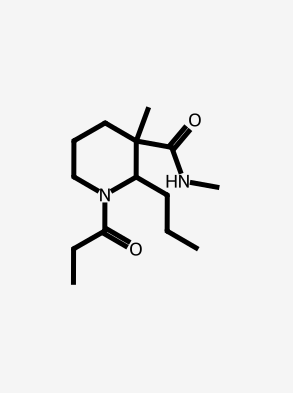 CCCC1N(C(=O)CC)CCCC1(C)C(=O)NC